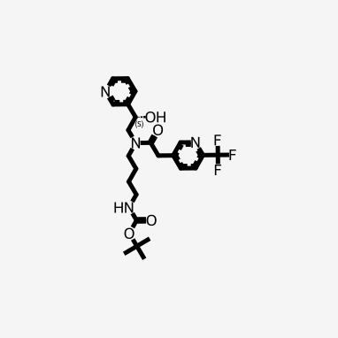 CC(C)(C)OC(=O)NCCCCN(C[C@@H](O)c1cccnc1)C(=O)Cc1ccc(C(F)(F)F)nc1